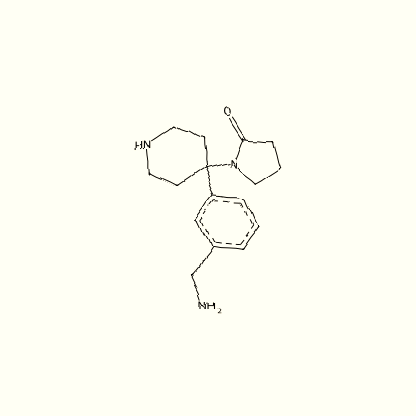 NCc1cccc(C2(N3CCCC3=O)CCNCC2)c1